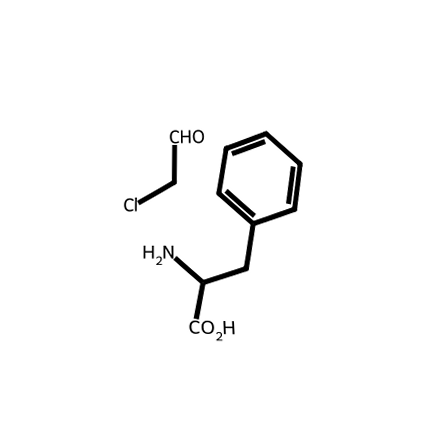 NC(Cc1ccccc1)C(=O)O.O=CCCl